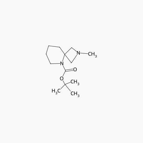 CN1CC2(CCCCN2C(=O)OC(C)(C)C)C1